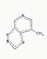 Cc1cncc2nncnc12